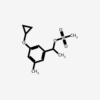 Cc1cc(OC2CC2)cc(C(C)OS(C)(=O)=O)c1